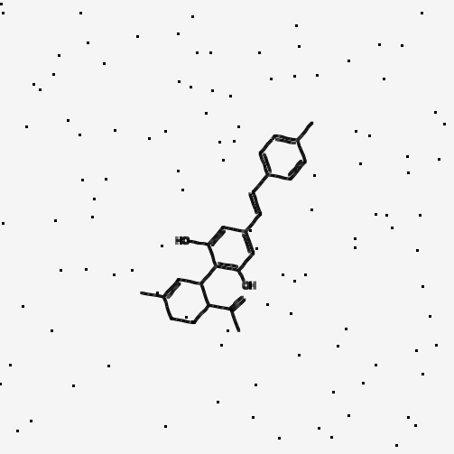 C=C(C)C1CCC(C)=CC1c1c(O)cc(/C=C/c2ccc(C)cc2)cc1O